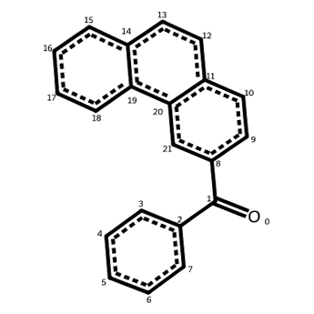 O=C(c1ccccc1)c1ccc2ccc3ccccc3c2c1